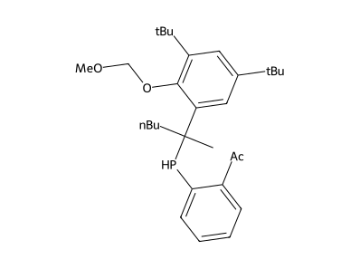 CCCCC(C)(Pc1ccccc1C(C)=O)c1cc(C(C)(C)C)cc(C(C)(C)C)c1OCOC